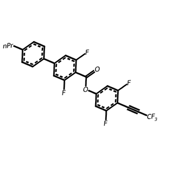 CCCc1ccc(-c2cc(F)c(C(=O)Oc3cc(F)c(C#CC(F)(F)F)c(F)c3)c(F)c2)cc1